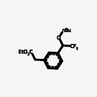 CCCCOC(c1cccc(CC(=O)OCC)c1)C(F)(F)F